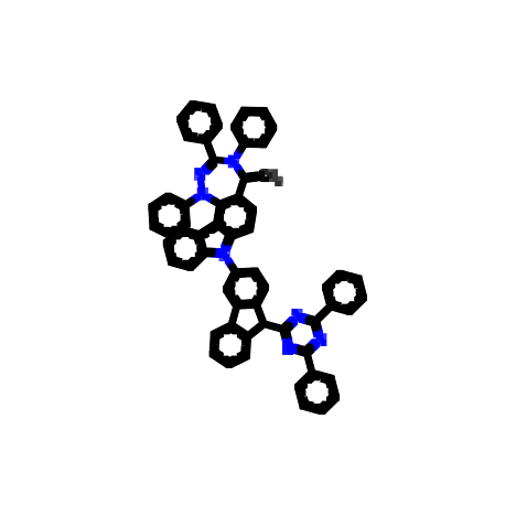 C=C1c2ccc3c(c2N(c2ccccc2)N=C(c2ccccc2)N1c1ccccc1)c1ccccc1n3-c1ccc2c(c1)-c1ccccc1C2c1nc(-c2ccccc2)nc(-c2ccccc2)n1